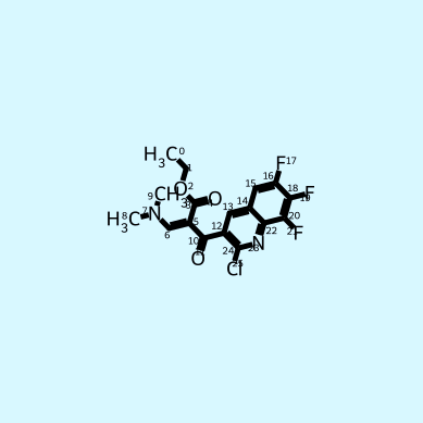 CCOC(=O)C(=CN(C)C)C(=O)c1cc2cc(F)c(F)c(F)c2nc1Cl